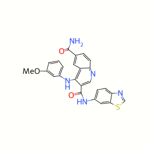 COc1cccc(Nc2c(C(=O)Nc3ccc4ncsc4c3)cnc3ccc(C(N)=O)cc23)c1